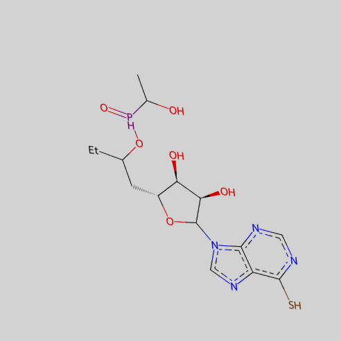 CCC(C[C@H]1OC(n2cnc3c(S)ncnc32)[C@H](O)[C@@H]1O)O[PH](=O)C(C)O